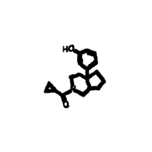 O=C(C1CC1)N1CCC2(c3cccc(O)c3)CCCC2C1